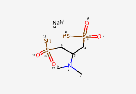 CN(C)C(CS(=O)(=O)S)CS(=O)(=O)S.[NaH]